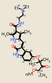 CCCO[C@@H](C)C(=O)C(C)(C)Oc1ccc2c(c1)/C(=C/c1[nH]c(C)c(C(=O)NCCN(CC)CC)c1C)C(=O)N2